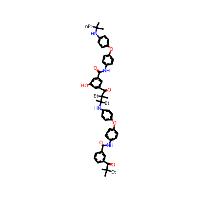 CCCC(C)(C)Nc1ccc(Oc2ccc(NC(=O)c3cc(O)cc(C(=O)C(C)(CC)C(C)(CC)Nc4ccc(Oc5ccc(NC(=O)c6cccc(C(=O)C(C)(C)CC)c6)cc5)cc4)c3)cc2)cc1